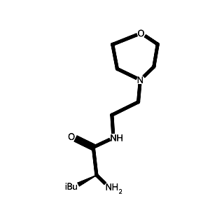 CCC(C)[C@H](N)C(=O)NCCN1CCOCC1